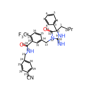 CC(C)CC1(c2ccccc2)NC(=N)N(Cc2ccc(C(F)(F)F)c(C(=O)NCc3ccc(C#N)cc3)c2)C1=O